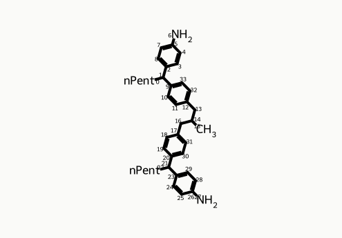 CCCCCC(c1ccc(N)cc1)c1ccc(CC(C)Cc2ccc(C(CCCCC)c3ccc(N)cc3)cc2)cc1